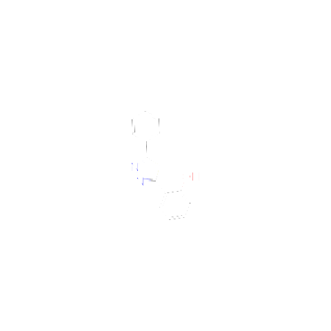 Oc1ccccc1-c1nnc(-c2ccccc2)s1